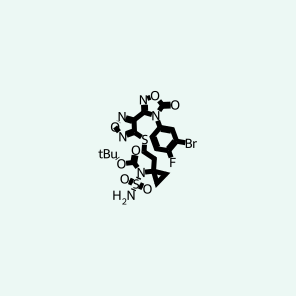 CC(C)(C)OC(=O)N(C1(CCSc2nonc2-c2noc(=O)n2-c2ccc(F)c(Br)c2)CC1)S(N)(=O)=O